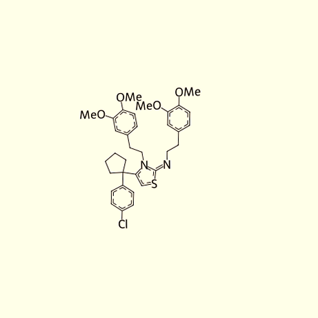 COc1ccc(CCN=c2scc(C3(c4ccc(Cl)cc4)CCCC3)n2CCc2ccc(OC)c(OC)c2)cc1OC